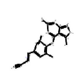 Cc1cc(/C=C/C#N)cc(C)c1Oc1nc(Cl)nc2noc(C)c12